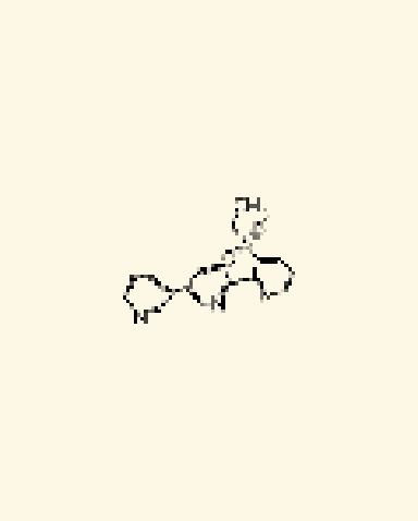 CCS(=O)(=O)c1cccnc1-c1ccc(-c2cccnc2)cn1